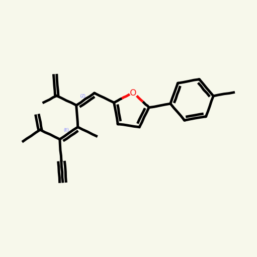 C#C/C(C(=C)C)=C(C)/C(=C\c1ccc(-c2ccc(C)cc2)o1)C(=C)C